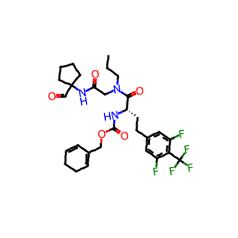 CCCN(CC(=O)NC1(C=O)CCCC1)C(=O)[C@H](CCc1cc(F)c(C(F)(F)F)c(F)c1)NC(=O)OCC1=CCCC=C1